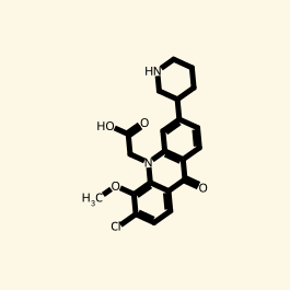 COc1c(Cl)ccc2c(=O)c3ccc(C4CCCNC4)cc3n(CC(=O)O)c12